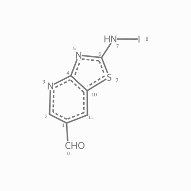 O=Cc1cnc2nc(NI)sc2c1